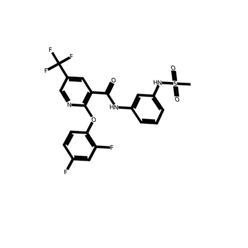 CS(=O)(=O)Nc1cccc(NC(=O)c2cc(C(F)(F)F)cnc2Oc2ccc(F)cc2F)c1